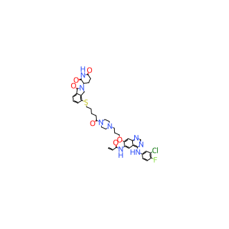 C=CC(=O)Nc1cc2c(Nc3ccc(F)c(Cl)c3)ncnc2cc1OCCCN1CCN(C(=O)CCCCSc2cccc3c2CN(C2CCC(=O)NC2=O)C3=O)CC1